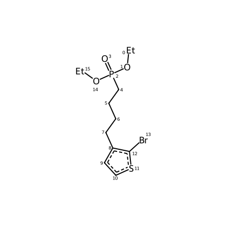 CCOP(=O)(CCCCc1ccsc1Br)OCC